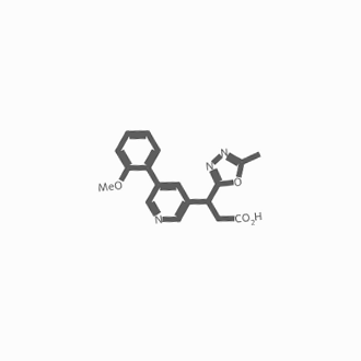 COc1ccccc1-c1cncc(C(CC(=O)O)c2nnc(C)o2)c1